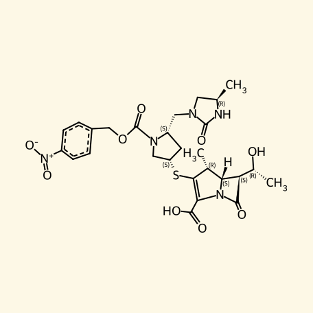 C[C@@H]1CN(C[C@@H]2C[C@H](SC3=C(C(=O)O)N4C(=O)[C@H]([C@@H](C)O)[C@H]4[C@H]3C)CN2C(=O)OCc2ccc([N+](=O)[O-])cc2)C(=O)N1